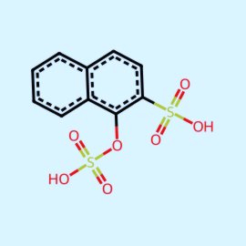 O=S(=O)(O)Oc1c(S(=O)(=O)O)ccc2ccccc12